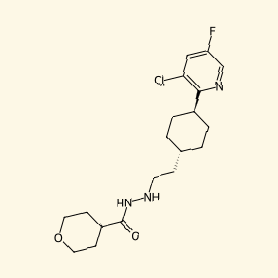 O=C(NNCC[C@H]1CC[C@H](c2ncc(F)cc2Cl)CC1)C1CCOCC1